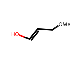 COCC=CO